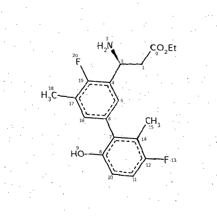 CCOC(=O)C[C@H](N)c1cc(-c2c(O)ccc(F)c2C)cc(C)c1F